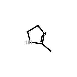 CC1=NC[C]N1